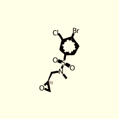 CN(C[C@H]1CO1)S(=O)(=O)c1ccc(Br)c(Cl)c1